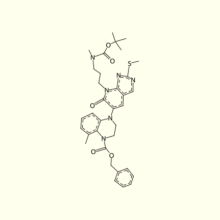 CSc1ncc2cc(N3CCN(C(=O)OCc4ccccc4)c4c(C)cccc43)c(=O)n(CCCN(C)C(=O)OC(C)(C)C)c2n1